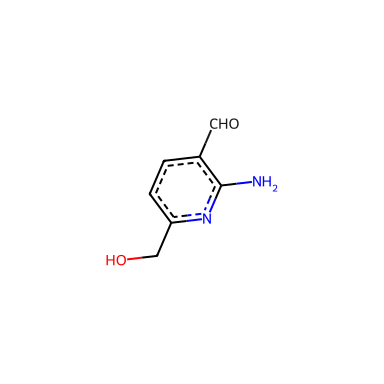 Nc1nc(CO)ccc1C=O